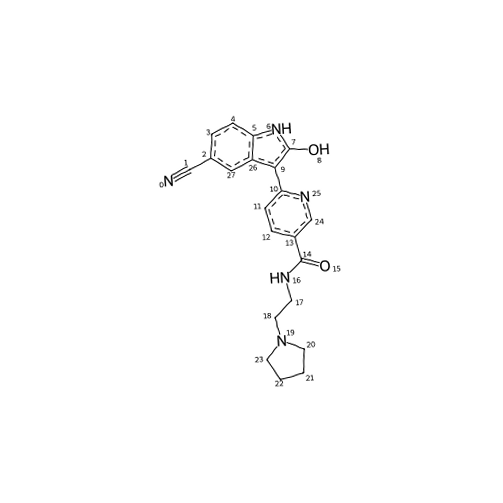 N#Cc1ccc2[nH]c(O)c(-c3ccc(C(=O)NCCN4CCCC4)cn3)c2c1